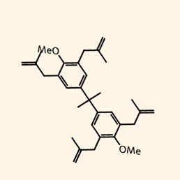 C=C(C)Cc1cc(C(C)(C)c2cc(CC(=C)C)c(OC)c(CC(=C)C)c2)cc(CC(=C)C)c1OC